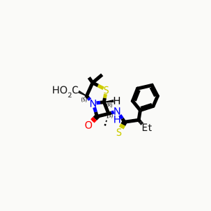 CCC(C(=S)N[C@@]1(C)C(=O)N2[C@@H](C(=O)O)C(C)(C)S[C@@H]21)c1ccccc1